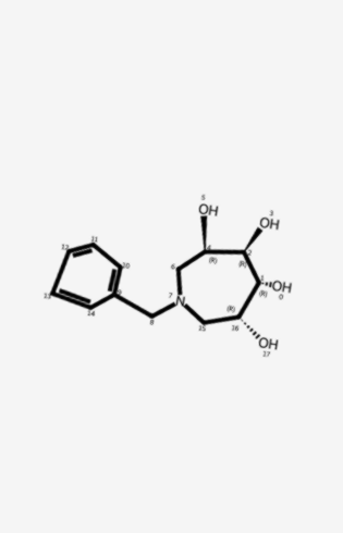 O[C@H]1[C@H](O)[C@H](O)CN(Cc2ccccc2)C[C@H]1O